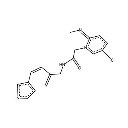 C=C(/C=C\c1cc[nH]c1)CNC(=O)Cn1cc(Cl)cc/c1=N/C